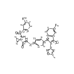 Cc1nc(-c2c(Cl)c3cc(F)ccc3n2-c2ccc(CNC(=O)C3(NC(=O)c4cccc(F)c4)CC3)cc2)no1